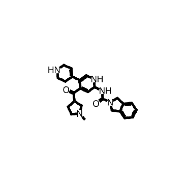 CN1CCC(C(=O)C2=CC(NC(=O)N3Cc4ccccc4C3)NC=C2C2=CCNCC2)C1